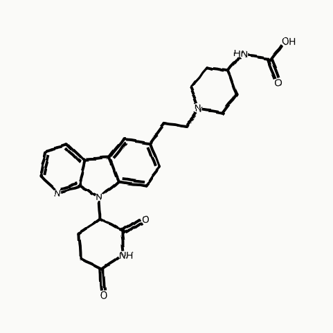 O=C(O)NC1CCN(CCc2ccc3c(c2)c2cccnc2n3C2CCC(=O)NC2=O)CC1